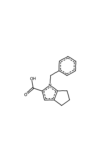 O=C(O)c1cc2c(n1Cc1ccccc1)CCC2